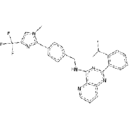 CC(C)c1ccccc1-c1nc(NCc2ccc(-c3nc(C(F)(F)F)cn3C)cc2)c2ncccc2n1